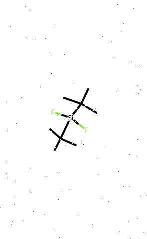 CC(C)(C)[Si](F)(F)C(C)(C)C